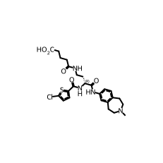 CN1CCc2ccc(NC(=O)[C@@H](CCNC(=O)CCCC(=O)O)NC(=O)c3ccc(Cl)s3)cc2CC1